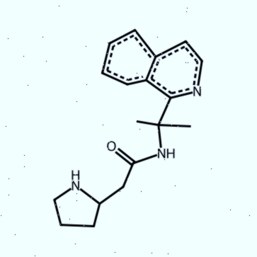 CC(C)(NC(=O)CC1CCCN1)c1nccc2ccccc12